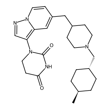 C[C@H]1CC[C@H](CN2CCC(Cc3ccn4ncc(N5CCC(=O)NC5=O)c4c3)CC2)CC1